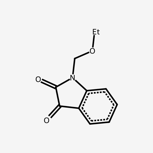 CCOCN1C(=O)C(=O)c2ccccc21